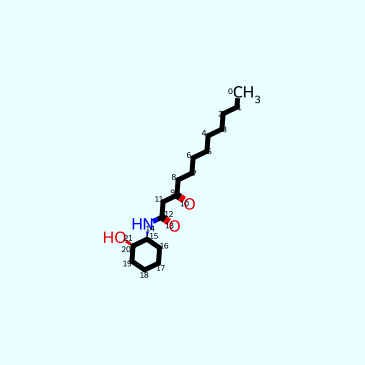 CCCCCCCCCC(=O)CC(=O)N[C@@H]1CCCC[C@H]1O